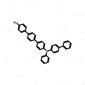 Brc1ccc(-c2ccc(-c3ccc(N(c4ccccc4)c4ccc(-c5ccccc5)cc4)cc3)cc2)cc1